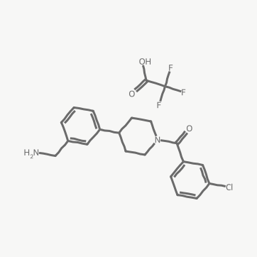 NCc1cccc(C2CCN(C(=O)c3cccc(Cl)c3)CC2)c1.O=C(O)C(F)(F)F